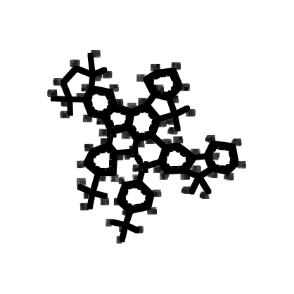 CC(C)(C)c1ccc(N2B3c4cc(C(C)(C)C)ccc4-n4c5cc6c(cc5c5c7c(c(c3c54)-c3cc4c(cc32)C(C)(C)c2ccccc2-4)C(C)(C)c2ccccc2-7)C(C)(C)CCC6(C)C)cc1